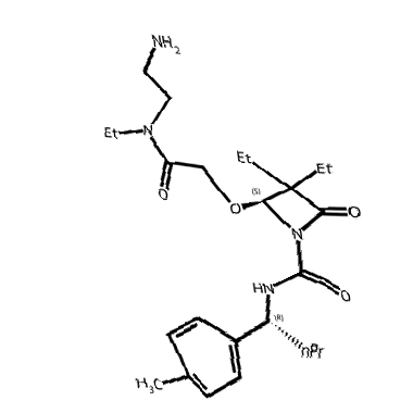 CCC[C@@H](NC(=O)N1C(=O)C(CC)(CC)[C@@H]1OCC(=O)N(CC)CCN)c1ccc(C)cc1